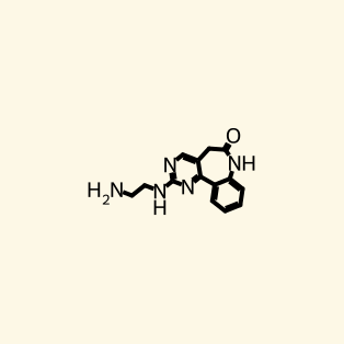 NCCNc1ncc2c(n1)-c1ccccc1NC(=O)C2